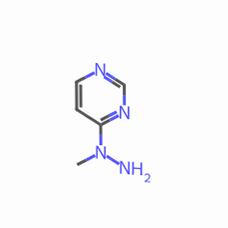 CN(N)c1ccncn1